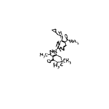 Cc1nn(-c2ncc(C(N)=O)c(NCC3CC3)n2)c2c1C(=O)CC(C)(C)C2